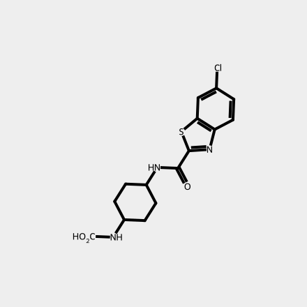 O=C(O)NC1CCC(NC(=O)c2nc3ccc(Cl)cc3s2)CC1